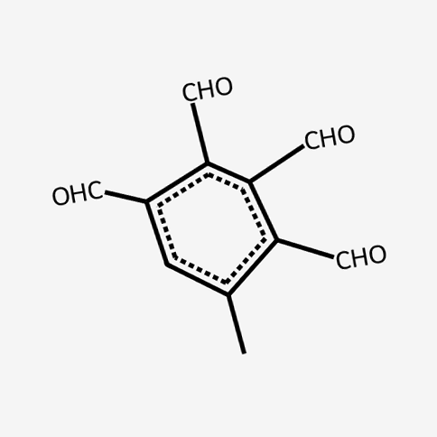 Cc1cc(C=O)c(C=O)c(C=O)c1C=O